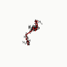 Cc1ncsc1-c1ccc(CNC(=O)[C@@H]2CCCN2C(=O)[C@@H](NC(=O)COCCOCCCCCCOc2cccc(CNC(=O)c3cccc(NCc4nnc(-c5ccncn5)n4C)c3)c2)C(C)(C)C)cc1